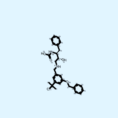 CC(C)(Cl)c1cc(CNC[C@@H](O)[C@H](Cc2ccccc2)NC(=O)O)cc(OCc2ccccc2)c1